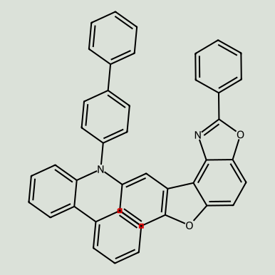 c1ccc(-c2ccc(N(c3ccc4oc5ccc6oc(-c7ccccc7)nc6c5c4c3)c3ccccc3-c3ccccc3)cc2)cc1